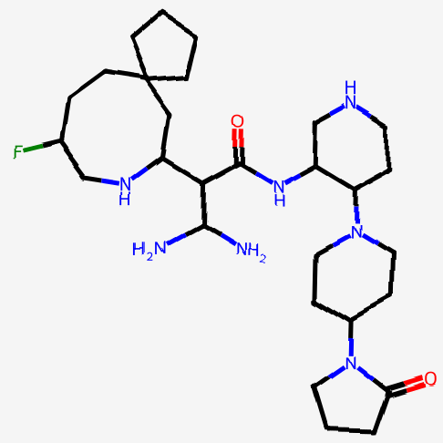 NC(N)C(C(=O)NC1CNCCC1N1CCC(N2CCCC2=O)CC1)C1CC2(CCCC2)CCC(F)CN1